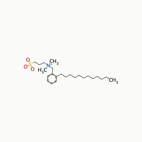 CCCCCCCCCCCCc1ccccc1C[N+](C)(C)CCCS(=O)(=O)[O-]